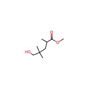 COC(=O)C(C)CC(C)(C)CO